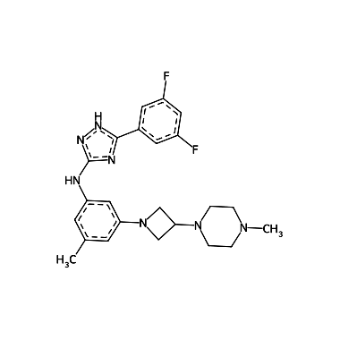 Cc1cc(Nc2n[nH]c(-c3cc(F)cc(F)c3)n2)cc(N2CC(N3CCN(C)CC3)C2)c1